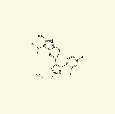 CS(=O)(=O)O.Cc1nc(-c2ccc(F)cc2F)c(-c2ccc3nc(N)n(C(C)C(C)C)c3c2)[nH]1